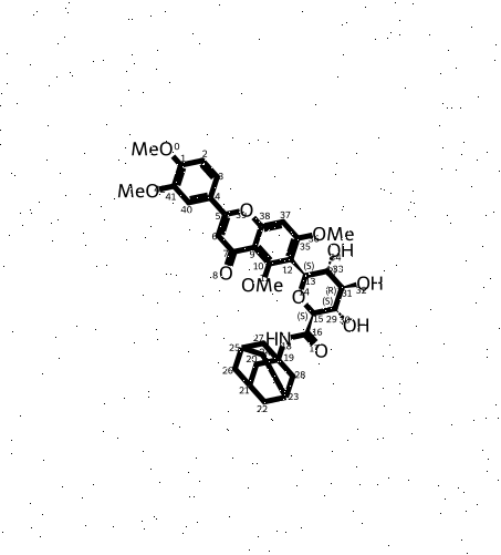 COc1ccc(-c2cc(=O)c3c(OC)c([C@@H]4O[C@H](C(=O)NC56CC7CC(CC(C7)C5)C6)[C@@H](O)[C@H](O)[C@H]4O)c(OC)cc3o2)cc1OC